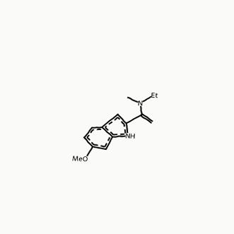 C=C(c1cc2ccc(OC)cc2[nH]1)N(C)CC